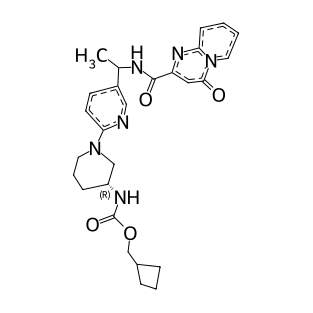 CC(NC(=O)c1cc(=O)n2ccccc2n1)c1ccc(N2CCC[C@@H](NC(=O)OCC3CCC3)C2)nc1